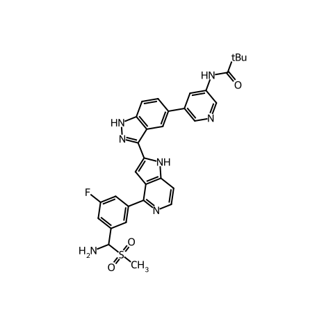 CC(C)(C)C(=O)Nc1cncc(-c2ccc3[nH]nc(-c4cc5c(-c6cc(F)cc(C(N)S(C)(=O)=O)c6)nccc5[nH]4)c3c2)c1